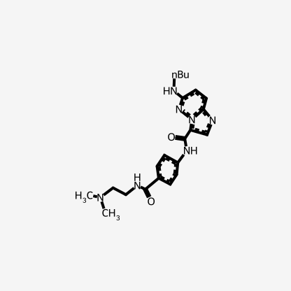 CCCCNc1ccc2ncc(C(=O)Nc3ccc(C(=O)NCCN(C)C)cc3)n2n1